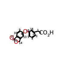 O=C(O)Cc1cccc(Oc2ccc3c(c2)COC3=O)c1